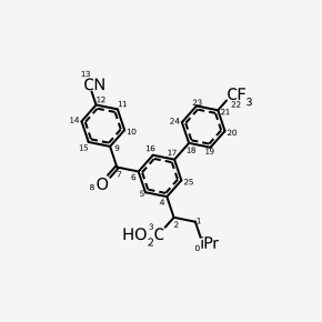 CC(C)CC(C(=O)O)c1cc(C(=O)c2ccc(C#N)cc2)cc(-c2ccc(C(F)(F)F)cc2)c1